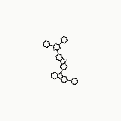 C1=Cc2c(c3ccc(-c4ccccc4)cc3n2-c2ccc3oc4cc(-c5nc(-c6ccccc6)nc(-c6ccccc6)n5)ccc4c3c2)CC1